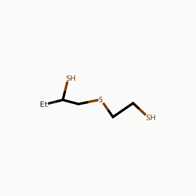 CCC(S)CSCCS